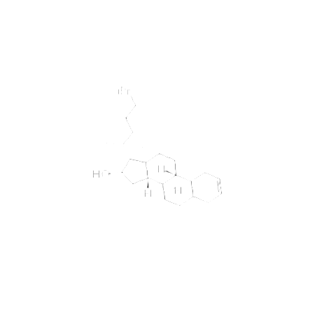 CC(C)CCC[C@@H](C)[C@H]1[C@@H](O)C[C@H]2[C@@H]3CCC4CC=CC[C@]4(C)[C@H]3CC[C@]12C